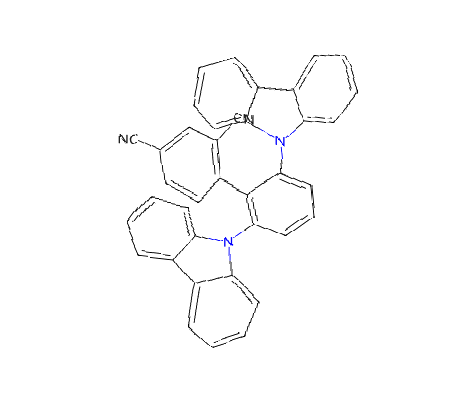 N#Cc1ccc(-c2c(-n3c4ccccc4c4ccccc43)cccc2-n2c3ccccc3c3ccccc32)c(C#N)c1